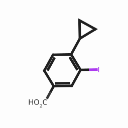 O=C(O)c1ccc(C2CC2)c(I)c1